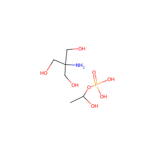 CC(O)OP(=O)(O)O.NC(CO)(CO)CO